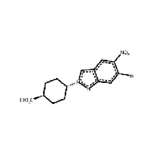 CCOC(=O)[C@H]1CC[C@H](n2cc3cc([N+](=O)[O-])c(Br)cc3n2)CC1